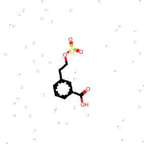 O=C(O)c1cccc(CCO[SH](=O)=O)c1